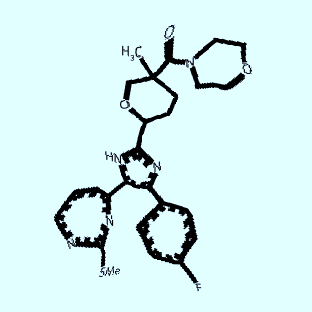 CSc1nccc(-c2[nH]c(C3CCC(C)(C(=O)N4CCOCC4)CO3)nc2-c2ccc(F)cc2)n1